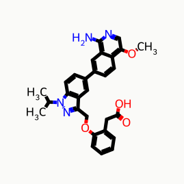 COc1cnc(N)c2cc(-c3ccc4c(c3)c(COc3ccccc3CC(=O)O)nn4C(C)C)ccc12